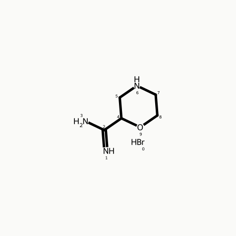 Br.N=C(N)C1CNCCO1